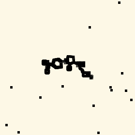 C=CCNC1CCN(c2ccc([N+](=O)[O-])cc2)C1=O